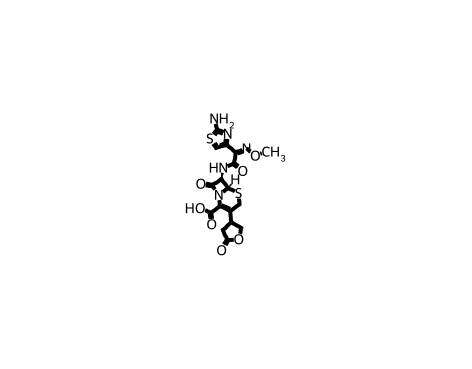 CO/N=C(\C(=O)N[C@@H]1C(=O)N2C(C(=O)O)=C(C3COC(=O)C3)CS[C@H]12)c1csc(N)n1